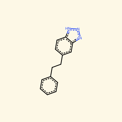 c1ccc(CCc2ccc3[nH]nnc3c2)cc1